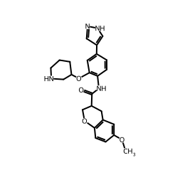 COc1ccc2c(c1)CC(C(=O)Nc1ccc(-c3cn[nH]c3)cc1OC1CCCNC1)CO2